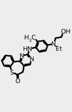 CCN(CCO)c1ccc(Nc2ncc3c(n2)-c2ccccc2SC(=O)C3)c(C)c1